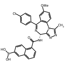 COc1ccc2c(c1)C(c1ccc(Cl)cc1)=N[C@@H](NC(=O)c1cccc3cc(B(O)O)ccc13)c1nnc(C)n1-2